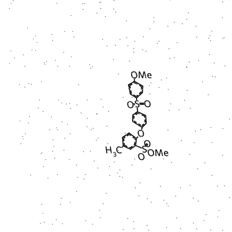 COc1ccc(S(=O)(=O)c2ccc(Oc3ccc(C)cc3S(=O)(=O)OC)cc2)cc1